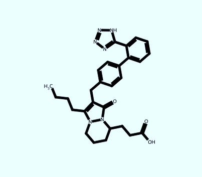 CCCCc1c(Cc2ccc(-c3ccccc3-c3nnn[nH]3)cc2)c(=O)n2n1CCCC2CCC(=O)O